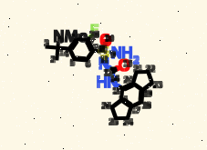 CNC(C)(C)c1ccc([S@](N)(=O)=NC(=O)Nc2c3c(cc4c2CCC4)CCC3)c(F)c1